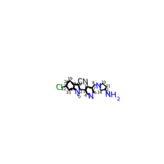 Cn1c(-c2cncc(CN3CC[C@@H](N)C3)c2)c(C#N)c2ccc(Cl)cc21